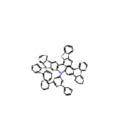 c1ccc(-c2cc(-c3ccccc3)cc(N(c3ccc4c5ccccc5c5ccccc5c4c3)c3cc4c(cc3-c3cccc5c3sc3ccccc35)-c3ccccc3C43c4ccccc4-c4ccccc43)c2)cc1